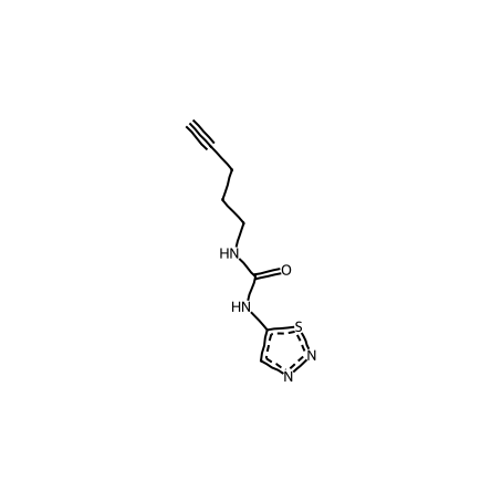 C#CCCCNC(=O)Nc1cnns1